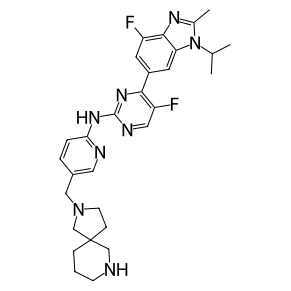 Cc1nc2c(F)cc(-c3nc(Nc4ccc(CN5CCC6(CCCNC6)C5)cn4)ncc3F)cc2n1C(C)C